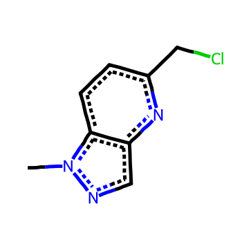 Cn1ncc2nc(CCl)ccc21